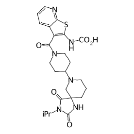 CC(C)N1C(=O)NC2(CCCN(C3CCN(C(=O)c4c(NC(=O)O)sc5ncccc45)CC3)C2)C1=O